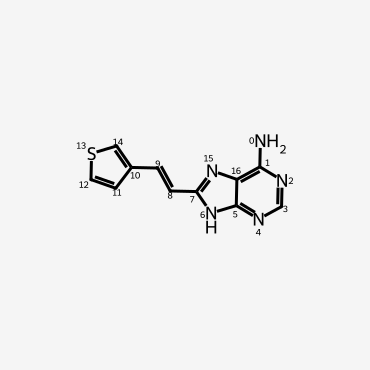 Nc1ncnc2[nH]c(C=Cc3ccsc3)nc12